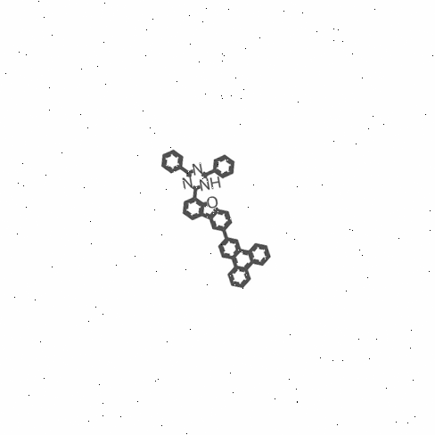 c1ccc(C2=NC(c3cccc4c3oc3ccc(-c5ccc6c7ccccc7c7ccccc7c6c5)cc34)NC(c3ccccc3)=N2)cc1